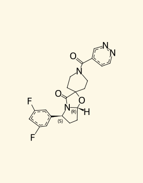 O=C(c1ccnnc1)N1CCC2(CC1)O[C@@H]1CC[C@@H](c3cc(F)cc(F)c3)N1C2=O